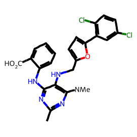 CNc1nc(C)nc(Nc2ccccc2C(=O)O)c1NCc1ccc(-c2cc(Cl)ccc2Cl)o1